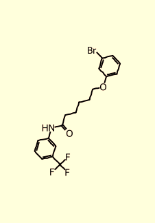 O=C(CCCCCOc1cccc(Br)c1)Nc1cccc(C(F)(F)F)c1